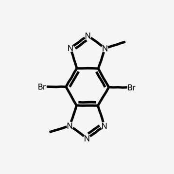 Cn1nnc2c(Br)c3c(nnn3C)c(Br)c21